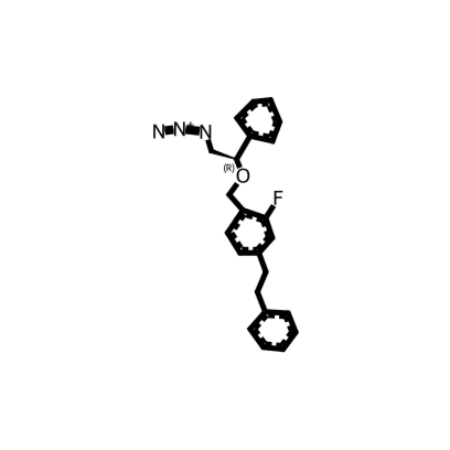 [N-]=[N+]=NC[C@H](OCc1ccc(CCc2ccccc2)cc1F)c1ccccc1